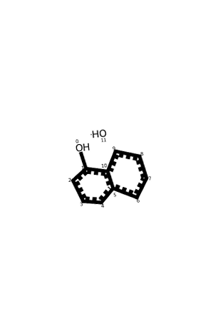 Oc1cccc2ccccc12.[OH]